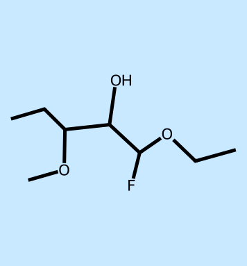 CCOC(F)C(O)C(CC)OC